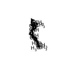 CC(C)n1c(=O)n(CC2CC2)c(=O)c2cc(NC(=O)N3CCCC(NC(=O)c4ccc(CNC(=O)OC(C)(C)C)cc4)C3)ccc21